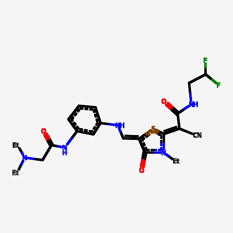 CCN(CC)CC(=O)Nc1cccc(NC=c2sc(=C(C#N)C(=O)NCC(F)F)n(CC)c2=O)c1